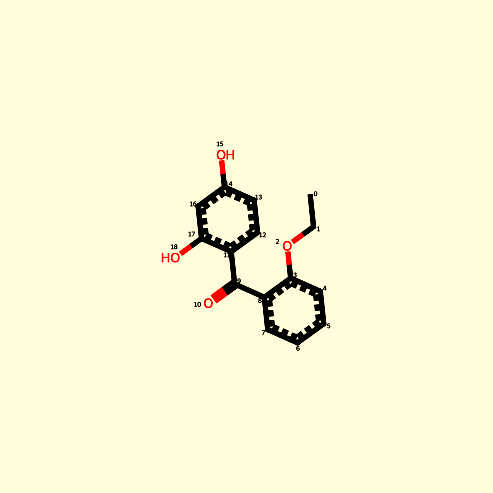 CCOc1ccccc1C(=O)c1ccc(O)cc1O